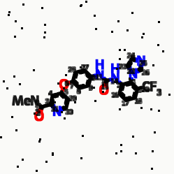 CNC(=O)c1cc(Oc2ccc(NC(=O)Nc3cccc(C(F)(F)F)c3-n3ccnc3)cc2)ccn1